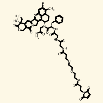 CC[C@@]1(O)C(=O)OCc2c1cc1n(c2=O)Cc2c-1nc1cc(F)c(C)c3c1c2[C@@H](N(CC(N)=O)C(=O)[C@H](Cc1ccccc1)NC(=O)CNC(=O)CNC(=O)CCOCCOCCNC(=O)CCN1C(=O)C=CC1=O)CC3